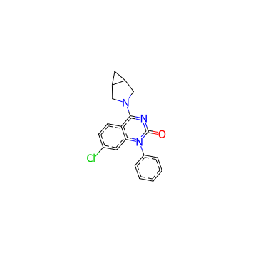 O=c1nc(N2CC3CC3C2)c2ccc(Cl)cc2n1-c1ccccc1